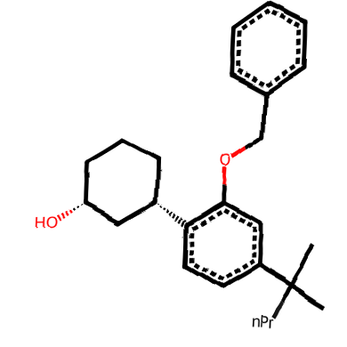 CCCC(C)(C)c1ccc([C@H]2CCC[C@@H](O)C2)c(OCc2ccccc2)c1